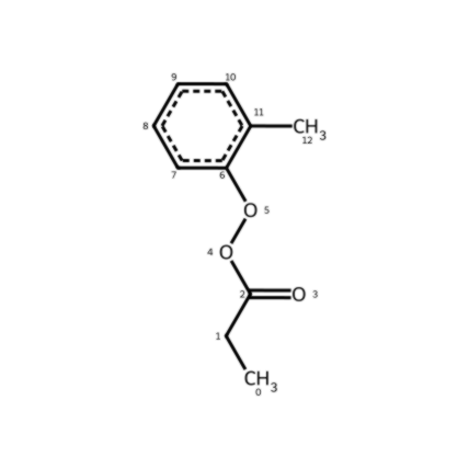 CCC(=O)OOc1ccccc1C